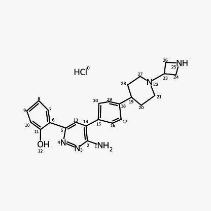 Cl.Nc1nnc(-c2ccccc2O)cc1-c1ccc(C2CCN(C3CNC3)CC2)cc1